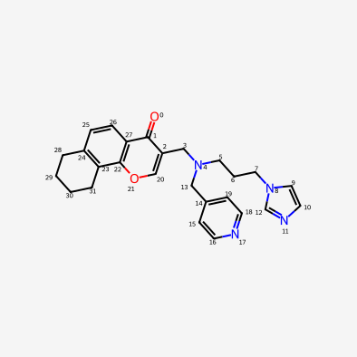 O=c1c(CN(CCCn2ccnc2)Cc2ccncc2)coc2c3c(ccc12)CCCC3